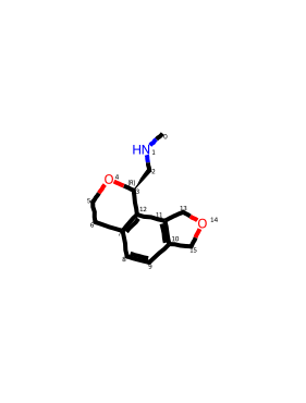 CNC[C@@H]1OCCc2ccc3c(c21)COC3